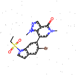 CCS(=O)(=O)n1ccc2cc(Br)c(-c3cn(C)c(=O)c4cnn(C)c34)cc21